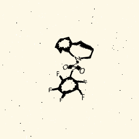 O=S(=O)(c1c(F)c(F)c(F)c(F)c1F)N1CC=Cc2ccccc21